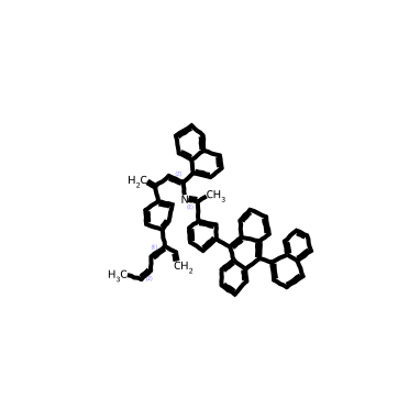 C=C/C(=C\C=C/C)c1ccc(C(=C)/C=C(\N=C(/C)c2cccc(-c3c4ccccc4c(-c4cccc5ccccc45)c4ccccc34)c2)c2cccc3ccccc23)cc1